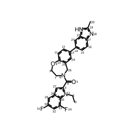 CCn1c(C(=O)N2CCOc3ccc(-c4ccc5nc(C)[nH]c5c4)cc3C2)cc2cc(F)cc(F)c21